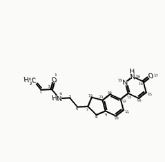 C=CC(=O)NCCC1Cc2ccc(-c3ccc(=O)[nH]n3)cc2C1